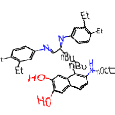 CCCCC(C=Nc1ccc(CC)c(CC)c1)=Nc1ccc(CC)c(CC)c1.CCCCCCCCNc1ccc2cc(O)c(O)cc2c1CCCC